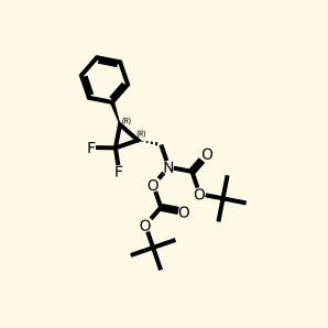 CC(C)(C)OC(=O)ON(C[C@H]1[C@H](c2ccccc2)C1(F)F)C(=O)OC(C)(C)C